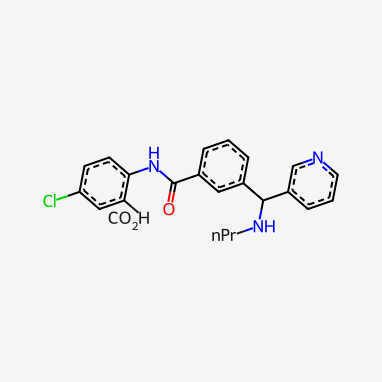 CCCNC(c1cccnc1)c1cccc(C(=O)Nc2ccc(Cl)cc2C(=O)O)c1